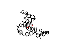 COCOc1cc(-c2ccc3c(N4CCC[C@@](C)(O)C4)nc(OC[C@H](C)CN4CCN(CC5CCC6(CC5)CCN(C(=O)c5ccc(C)c(N7CCC(=O)NC7=O)c5)CC6)CC4)nc3c2F)c2c(C#C[Si](C(C)C)(C(C)C)C(C)C)c(F)ccc2c1